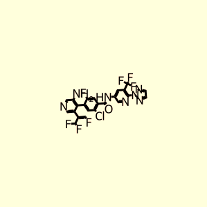 Nc1cncc(C(=CF)C(F)F)c1-c1cc(Cl)c(C(=O)Nc2cnc(-n3nccn3)c(C(F)(F)F)c2)cc1F